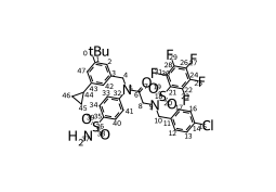 CC(C)(C)c1cc(CN(C(=O)CN(Cc2ccc(Cl)cc2)S(=O)(=O)c2c(F)c(F)c(F)c(F)c2F)c2ccc(S(N)(=O)=O)cc2)cc(C2CC2)c1